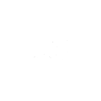 COC(=O)Nc1scc(C)c1C